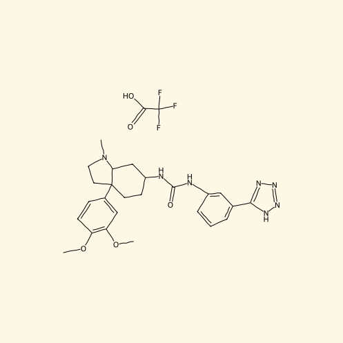 COc1ccc(C23CCC(NC(=O)Nc4cccc(-c5nnn[nH]5)c4)CC2N(C)CC3)cc1OC.O=C(O)C(F)(F)F